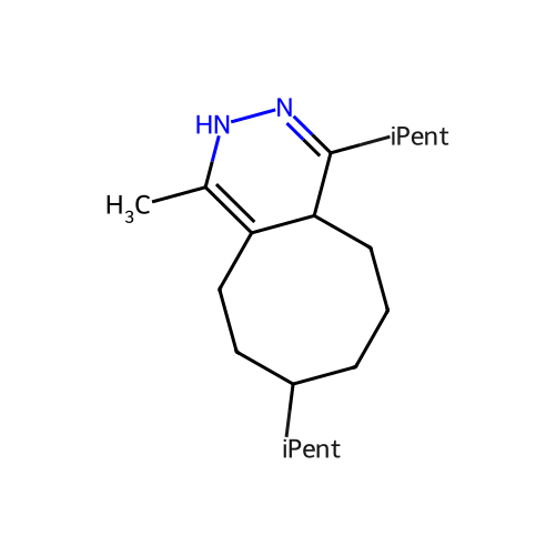 CCCC(C)C1=NNC(C)=C2CCC(C(C)CCC)CCCC12